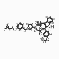 CN(C)CCOc1cccc(CN2CC[C@@H](N3CC(=O)N4[C@H](c5ccc6c(c5)OCO6)c5[nH]c6ccccc6c5C[C@@H]4C3=O)C2)c1